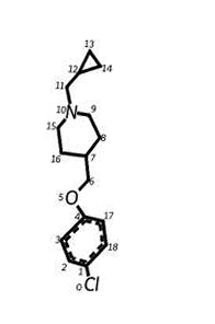 Clc1ccc(OCC2CCN(CC3CC3)CC2)cc1